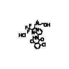 CN(CCO)Cc1c(C(F)(F)F)nc2c(NC(=O)c3c(Cl)cccc3Cl)cccn12.Cl